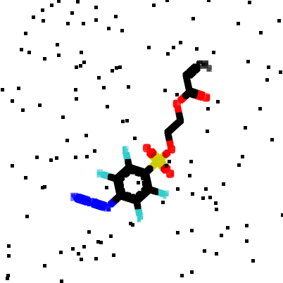 C=CC(=O)OCCOS(=O)(=O)c1c(F)c(F)c(N=[N+]=[N-])c(F)c1F